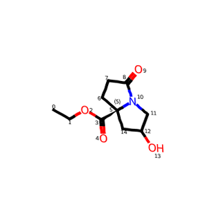 CCOC(=O)[C@@]12CCC(=O)N1CC(O)C2